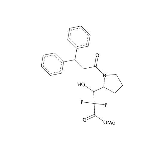 COC(=O)C(F)(F)C(O)C1CCCN1C(=O)CC(c1ccccc1)c1ccccc1